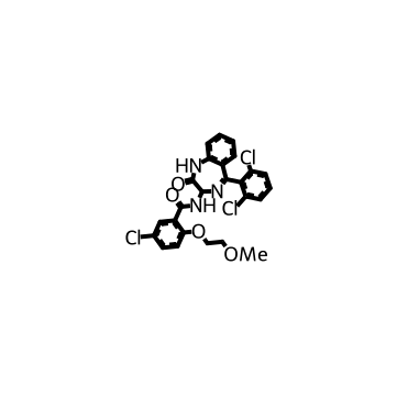 COCCOc1ccc(Cl)cc1C(=O)NC1N=C(c2c(Cl)cccc2Cl)c2ccccc2NC1=O